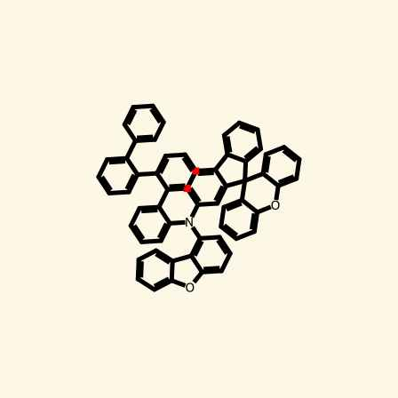 c1ccc(-c2ccccc2-c2ccccc2-c2ccccc2N(c2ccc3c(c2)C2(c4ccccc4Oc4ccccc42)c2ccccc2-3)c2cccc3oc4ccccc4c23)cc1